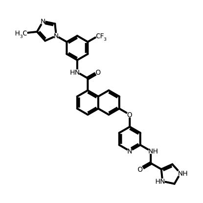 Cc1cn(-c2cc(NC(=O)c3cccc4cc(Oc5ccnc(NC(=O)C6=CNCN6)c5)ccc34)cc(C(F)(F)F)c2)cn1